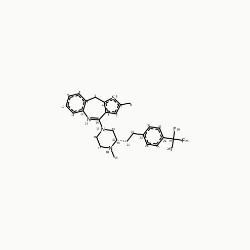 Cc1cc2c(s1)Cc1ccccc1N=C2N1CCN(C)[C@@H](CCc2ccc(C(F)(F)F)cc2)C1